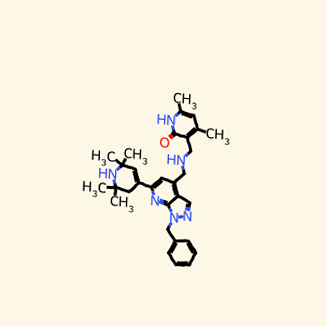 Cc1cc(C)c(CNCc2cc(C3=CC(C)(C)NC(C)(C)C3)nc3c2cnn3Cc2ccccc2)c(=O)[nH]1